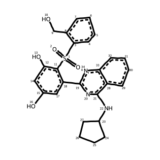 O=S(=O)(c1ccccc1CO)c1c(O)cc(O)cc1-c1nc(NC2CCCC2)c2ccccc2n1